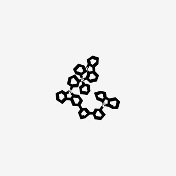 c1ccc(S(c2ccccc2)(c2cccc(-n3c4ccccc4c4cc(-c5cccc(-c6cccc(-n7c8ccccc8c8ccccc87)c6)c5)ccc43)c2)c2cccc3c2oc2ccccc23)cc1